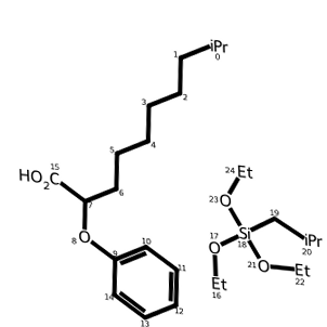 CC(C)CCCCCCC(Oc1ccccc1)C(=O)O.CCO[Si](CC(C)C)(OCC)OCC